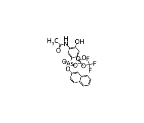 CC(=O)Nc1cc([As](=O)(Oc2ccc3ccccc3c2)OS(=O)(=O)OC(F)(F)F)ccc1O